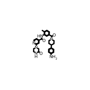 Cc1ccc(C(=O)N2CCC(c3ccc(N)cc3)CC2)cc1NC(=O)c1ccnc(N2CCNC(=O)C2)c1